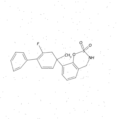 CC1(c2cccc3c2OS(=O)(=O)NC3)C=CC(c2ccccc2)=C(F)C1